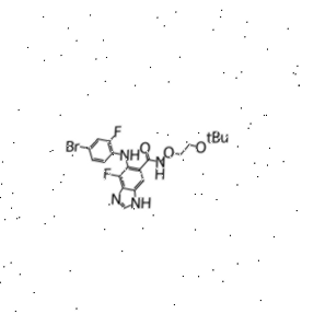 CC(C)(C)OCCONC(=O)c1cc2[nH]cnc2c(F)c1Nc1ccc(Br)cc1F